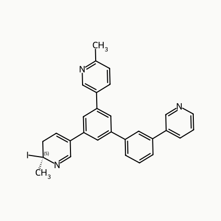 Cc1ccc(-c2cc(C3=CC[C@](C)(I)N=C3)cc(-c3cccc(-c4cccnc4)c3)c2)cn1